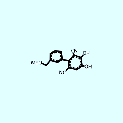 COCc1cccc(-c2c(C#N)cc(O)c(O)c2C#N)c1